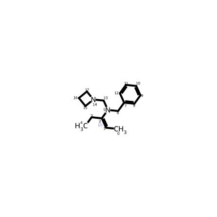 C/C=C(/CC)N(Cc1ccccc1)CN1CCC1